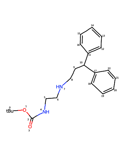 CC(C)(C)OC(=O)NCCNCCC(c1ccccc1)c1ccccc1